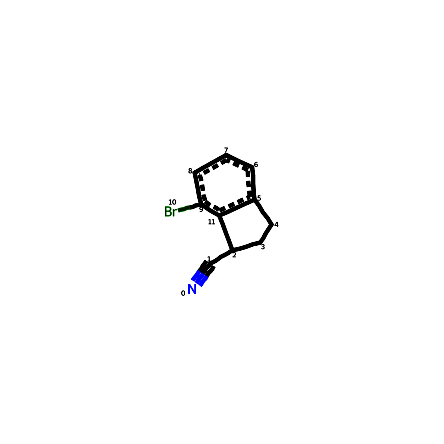 N#CC1CCc2cccc(Br)c21